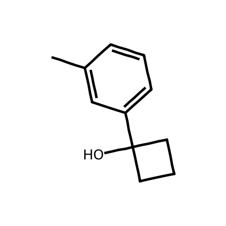 Cc1cccc(C2(O)CCC2)c1